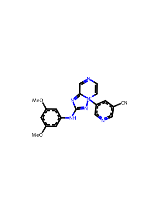 COc1cc(NC2=N[N+]3(c4cncc(C#N)c4)C=CN=CC3=N2)cc(OC)c1